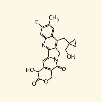 Cc1cc2c(CC3(CO)CC3)c3c(nc2cc1F)-c1cc2c(c(=O)n1C3)COC(=O)C2O